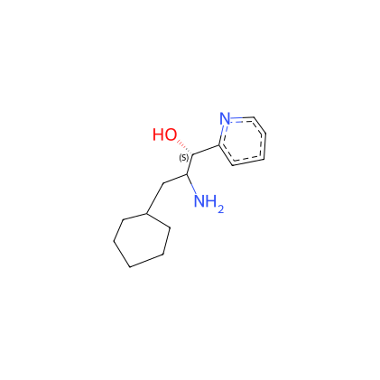 NC(CC1CCCCC1)[C@H](O)c1ccccn1